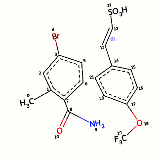 Cc1cc(Br)ccc1C(N)=O.O=S(=O)(O)/C=C/c1ccc(OC(F)(F)F)cc1